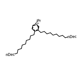 CCCCCCCCCCCCCCCCCCCc1cc[n+](C(C)C)cc1CCCCCCCCCCCCCCCCCCC